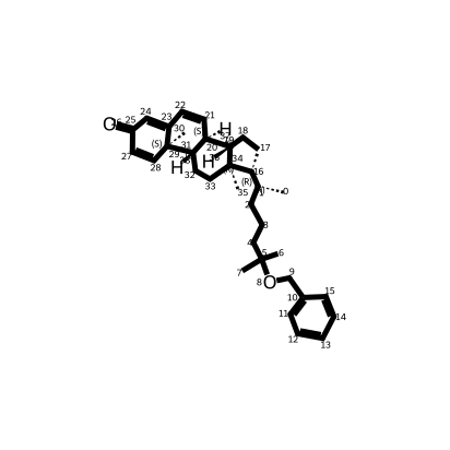 C[C@H](CCCC(C)(C)OCc1ccccc1)[C@H]1CC[C@H]2[C@@H]3C=CC4=CC(=O)C=C[C@]4(C)[C@H]3CC[C@]12C